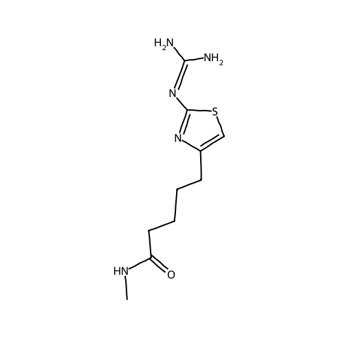 CNC(=O)CCCCc1csc(N=C(N)N)n1